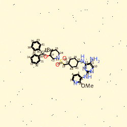 COc1ncccc1Nc1ncc(N)c(NC2CCC(CS(=O)(=O)N3CCCC(O[Si](c4ccccc4)(c4ccccc4)C(C)(C)C)C3)CC2)n1